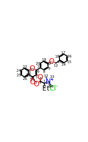 CCC(C(=O)Oc1c(-c2ccc(OCc3ccccc3)cc2)oc2ccccc2c1=O)[N+](C)(C)C.[Cl-]